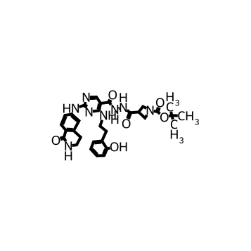 CC(C)(C)OC(=O)N1CC(C(=O)NNC(=O)c2cnc(Nc3ccc4c(c3)CCNC4=O)nc2NCCc2ccccc2O)C1